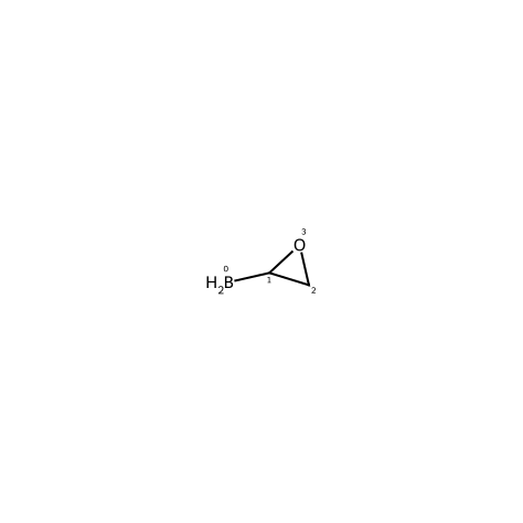 BC1CO1